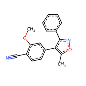 COc1cc(-c2c(-c3ccccc3)noc2C)ccc1C#N